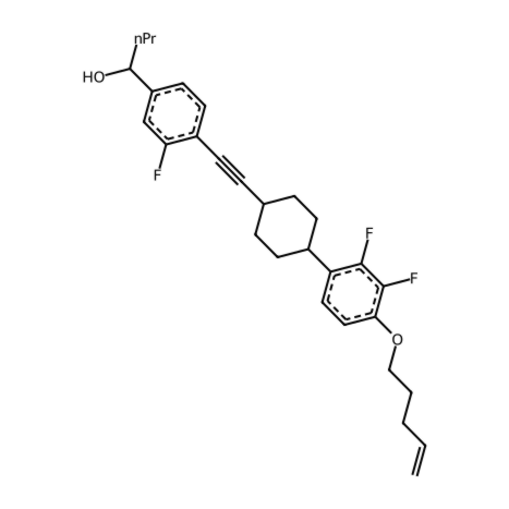 C=CCCCOc1ccc(C2CCC(C#Cc3ccc(C(O)CCC)cc3F)CC2)c(F)c1F